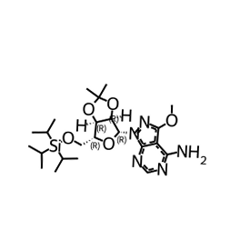 COc1nn([C@@H]2O[C@H](CO[Si](C(C)C)(C(C)C)C(C)C)[C@H]3OC(C)(C)O[C@H]32)c2ncnc(N)c12